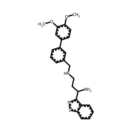 COc1ccc(-c2cccc(CNCCC(N)c3nsc4ccccc34)c2)cc1OC